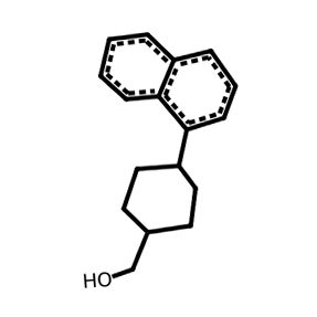 OCC1CCC(c2cccc3ccccc23)CC1